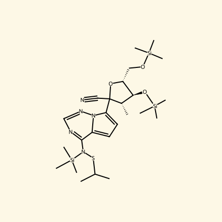 CC(C)SN(c1ncnn2c(C3(C#N)O[C@H](CO[Si](C)(C)C)[C@@H](O[Si](C)(C)C)[C@@H]3C)ccc12)[Si](C)(C)C